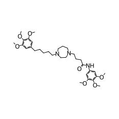 COc1cc(CCCCCN2CCCN(CCCC(=O)Nc3cc(OC)c(OC)c(OC)c3)CC2)cc(OC)c1OC